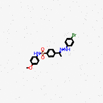 COc1ccc(NS(=O)(=O)c2ccc(C(C)=NNc3ccc(Br)cc3)cc2)cc1